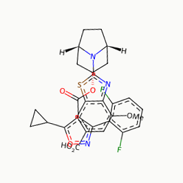 COc1cc(C(=O)O)cc2sc(N3[C@@H]4CC[C@H]3C[C@@H](OC(=O)c3c(-c5c(F)cccc5F)noc3C3CC3)C4)nc12